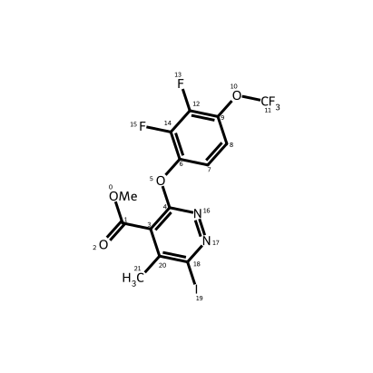 COC(=O)c1c(Oc2ccc(OC(F)(F)F)c(F)c2F)nnc(I)c1C